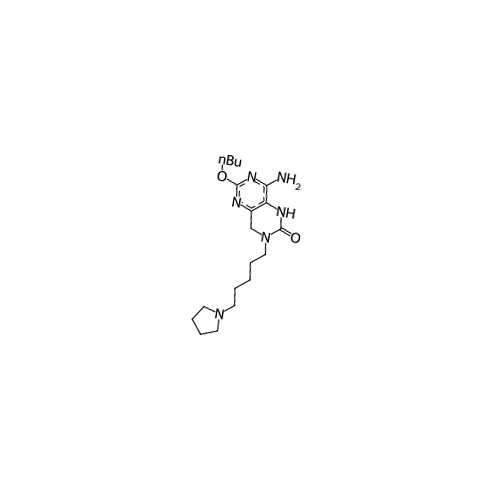 CCCCOc1nc(N)c2c(n1)CN(CCCCCN1CCCC1)C(=O)N2